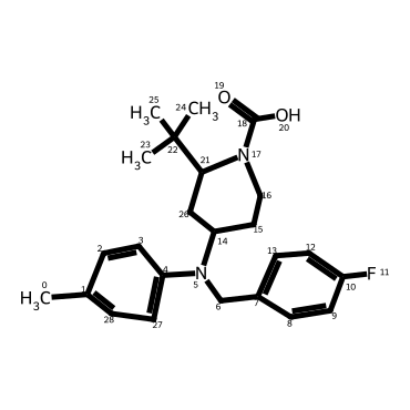 Cc1ccc(N(Cc2ccc(F)cc2)C2CCN(C(=O)O)C(C(C)(C)C)C2)cc1